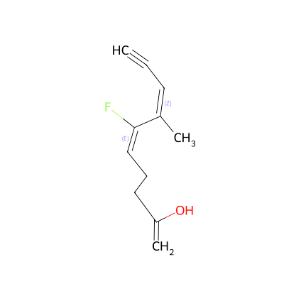 C#C/C=C(C)\C(F)=C/CCC(=C)O